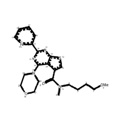 COCCCCN(C)C(=O)c1csc2nc(-c3ccccn3)nc(N3CCOCC3)c12